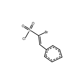 O=S(=O)(Cl)C(Br)=Cc1ccccc1